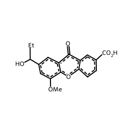 CCC(O)c1cc(OC)c2oc3ccc(C(=O)O)cc3c(=O)c2c1